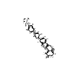 FC(F)(F)c1ccc(-c2ccc(-c3ccc4c(c3)sc3c5ccccc5sc43)cc2)cc1